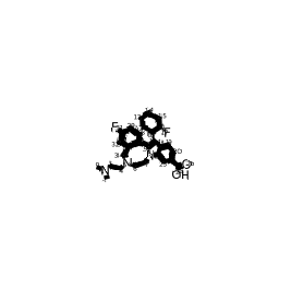 CN(C)CCN1CCn2c(c([C@H]3CCCC[C@@H]3F)c3ccc(C(=O)O)cc32)-c2ccc(F)cc2C1